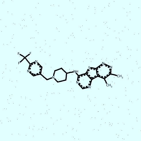 Cc1nnc2sc3c(NC4CCN(Cc5cnc(C(F)(F)F)nc5)CC4)ncnc3c2c1C